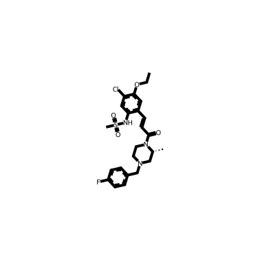 CCOc1cc(/C=C/C(=O)N2CCN(Cc3ccc(F)cc3)C[C@H]2C)c(NS(C)(=O)=O)cc1Cl